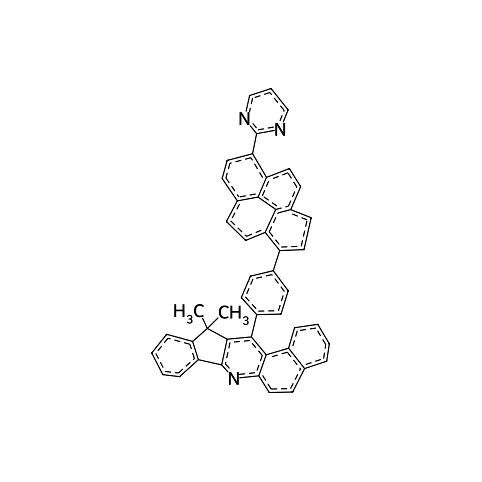 CC1(C)c2ccccc2-c2nc3ccc4ccccc4c3c(-c3ccc(-c4ccc5ccc6c(-c7ncccn7)ccc7ccc4c5c76)cc3)c21